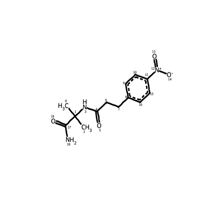 CC(C)(NC(=O)[CH]Cc1ccc([N+](=O)[O-])cc1)C(N)=O